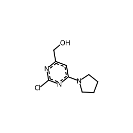 OCc1cc(N2CCCC2)nc(Cl)n1